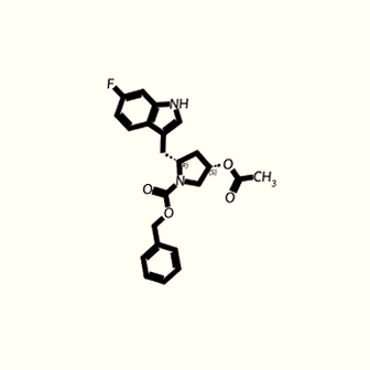 CC(=O)O[C@H]1C[C@@H](Cc2c[nH]c3cc(F)ccc23)N(C(=O)OCc2ccccc2)C1